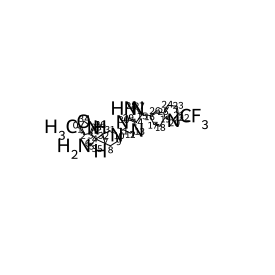 Cc1cc([C@@]2(CN)[C@@H]3CCN(c4cnc5c(-c6ccc7nc(C(F)(F)F)ccc7c6)n[nH]c5n4)C[C@@H]32)no1